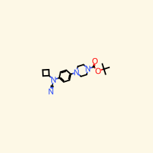 CC(C)(C)OC(=O)N1CCN(c2ccc(N(C#N)C3CCC3)cc2)CC1